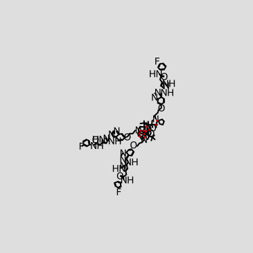 CC(C)(C)C(CN(CCCOc1ccc2c(Nc3cc(CC(=O)Nc4cccc(F)c4)[nH]n3)ncnc2c1)C1CCCC1)(OP(=O)(OC(CN(CCCOc1ccc2c(Nc3cc(CC(=O)Nc4cccc(F)c4)[nH]n3)ncnc2c1)C1CCCC1)(C(C)(C)C)C(C)(C)C)OC(CN(CCCOc1ccc2c(Nc3cc(CC(=O)Nc4cccc(F)c4)[nH]n3)ncnc2c1)C1CCCC1)(C(C)(C)C)C(C)(C)C)C(C)(C)C